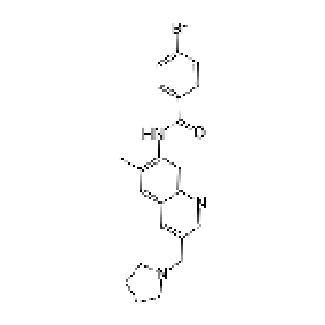 Cc1cc2cc(CN3CCCC3)cnc2cc1NC(=O)c1ccc(Br)cc1